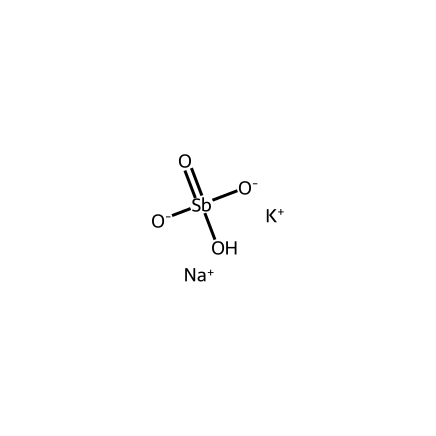 [K+].[Na+].[O]=[Sb]([O-])([O-])[OH]